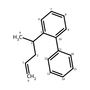 C=CCC(C)c1ccccc1-c1ccccc1